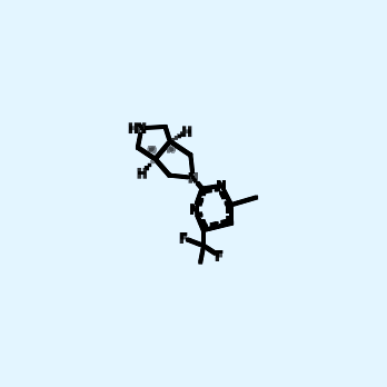 Cc1cc(C(C)(F)F)nc(N2C[C@H]3CNC[C@H]3C2)n1